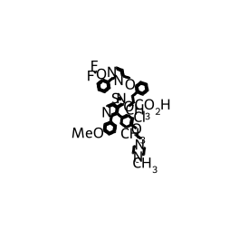 COc1cccc(-c2ncc3snc(O[C@H](Cc4ccccc4OCc4ccnc(-c5ccccc5OC(F)F)n4)C(=O)O)c3c2C2=C(C)C(Cl)=C(OCCN3CCN(C)CC3)C(C)C2)c1